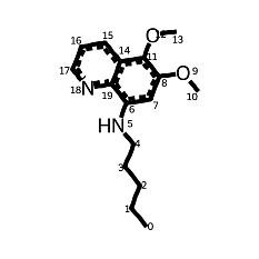 CCCCCNc1cc(OC)c(OC)c2cccnc12